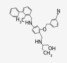 CCC(CO)NCc1ccc(NCc2cccc(-c3ccccc3)c2C)cc1OCc1cccc(C#N)c1